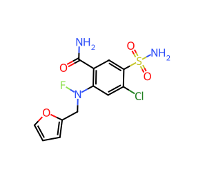 NC(=O)c1cc(S(N)(=O)=O)c(Cl)cc1N(F)Cc1ccco1